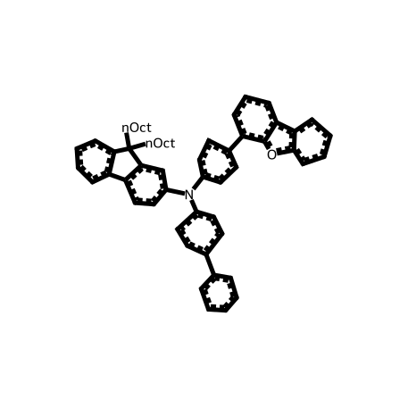 CCCCCCCCC1(CCCCCCCC)c2ccccc2-c2ccc(N(c3ccc(-c4ccccc4)cc3)c3ccc(-c4cccc5c4oc4ccccc45)cc3)cc21